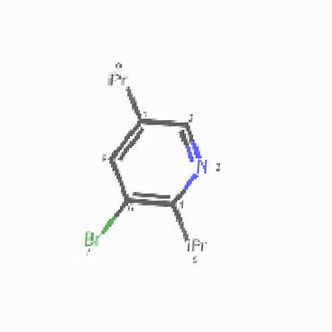 CC(C)c1cnc(C(C)C)c(Br)c1